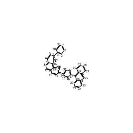 c1ccc(-c2ccc3ccc4ccc(-c5ccc(-c6c7ccccc7cc7ccccc67)cc5)nc4c3n2)cc1